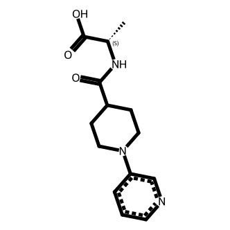 C[C@H](NC(=O)C1CCN(c2cccnc2)CC1)C(=O)O